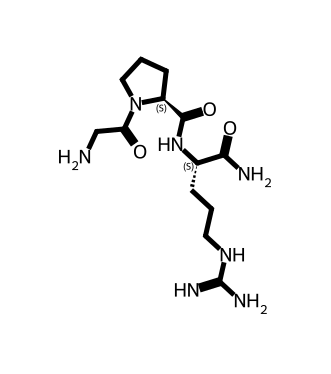 N=C(N)NCCC[C@H](NC(=O)[C@@H]1CCCN1C(=O)CN)C(N)=O